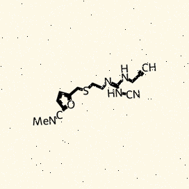 C#CCN/C(=N/CCSCc1ccc(CNC)o1)NC#N